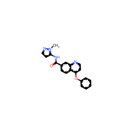 Cn1nccc1NC(=O)c1ccc2c(Oc3ccccc3)ccnc2c1